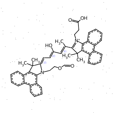 C\C(=C/C(O)=C/C=C1\N(CCOC=O)c2c(c3ccccc3c3ccccc23)C1(C)C)C1=[N+](CCC(=O)O)c2c(c3ccccc3c3ccccc23)C1(C)C